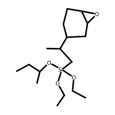 CCO[Si](CC(C)C1CCC2OC2C1)(OCC)OC(C)CC